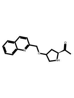 CC(=O)[C@@H]1CC(OCc2ccc3ccccc3n2)CN1